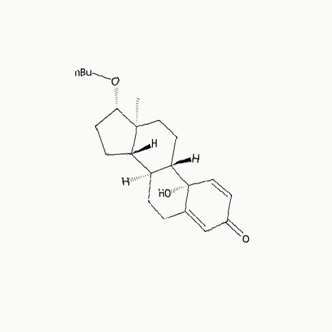 CCCCO[C@H]1CC[C@H]2[C@@H]3CCC4=CC(=O)C=C[C@]4(O)[C@H]3CC[C@]12C